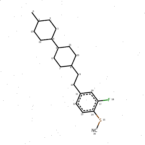 CC1CCC(C2CCC(CCc3ccc(SC#N)c(F)c3)CC2)CC1